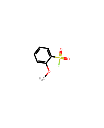 COc1ccccc1S(=O)(=O)F